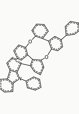 c1ccc(-c2ccc3c(c2)-c2ccccc2Oc2ccccc2-c2c(cccc2-c2cccc4c5ccccc5n(-c5ccccc5)c24)O3)cc1